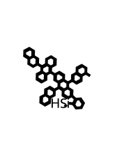 CC1CC=Cc2cc(C3c4ccc(-c5c6c(c(C7=Cc8ccccc8CC7)c7ccccc57)CCC=C6)cc4C(C4=CC=C5C=CC=CC5C4)=C4C=C5C(=CC43)C3=C(CCC=C3)[SiH]5C)ccc21